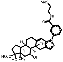 CSCCNC(=O)c1cccc(-n2ncc3c2C=C2CC[C@@H]4[C@H]([C@@H](O)C[C@@]5(C)[C@H]4CC[C@]5(O)C(=O)O)[C@@]2(C)C3)c1